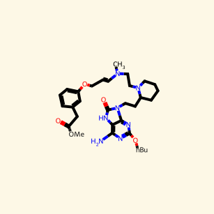 CCCCOc1nc(N)c2[nH]c(=O)n(CCC3CCCCN3CCN(C)/C=C/COc3cccc(CC(=O)OC)c3)c2n1